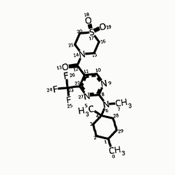 CC1CCC(C)(N(C)c2ncc(C(=O)N3CCS(=O)(=O)CC3)c(C(F)(F)F)n2)CC1